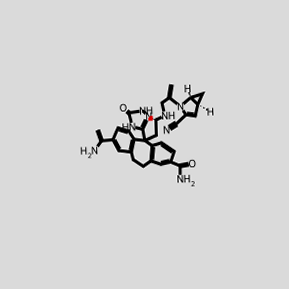 C=C(N)c1ccc2c(c1)CCc1cc(C(N)=O)ccc1C2(C[C@H](C)NCC(=C)N1C(C#N)=C[C@@H]2C[C@@H]21)c1n[nH]c(=O)[nH]1